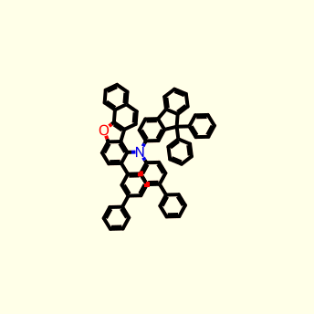 c1ccc(-c2ccc(N(c3ccc4c(c3)C(c3ccccc3)(c3ccccc3)c3ccccc3-4)c3c(-c4cccc(-c5ccccc5)c4)ccc4oc5c6ccccc6ccc5c34)cc2)cc1